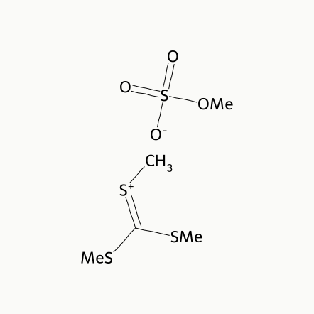 COS(=O)(=O)[O-].CSC(SC)=[S+]C